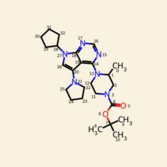 CC1CN(C(=O)OC(C)(C)C)CCN1c1ncnc2c1c(N1CCCC1)cn2C1CCCC1